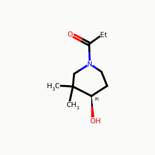 CCC(=O)N1CC[C@@H](O)C(C)(C)C1